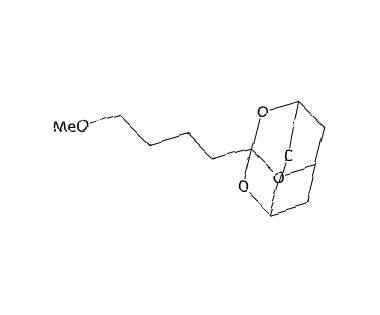 COCCCCC12OC3CC(CC(C3)O1)O2